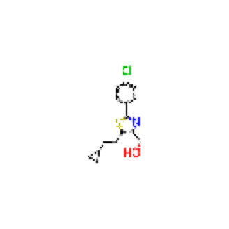 OCc1nc(-c2ccc(Cl)cc2)sc1CCC1CC1